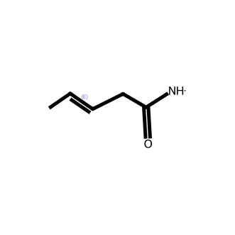 C/C=C/CC([NH])=O